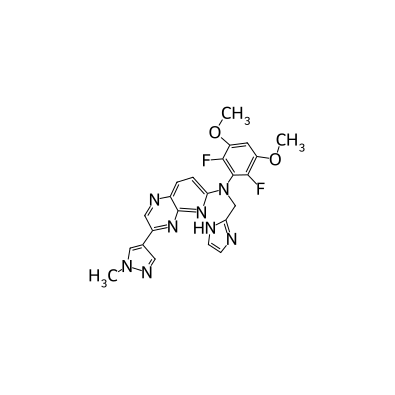 COc1cc(OC)c(F)c(N(Cc2ncc[nH]2)c2ccc3ncc(-c4cnn(C)c4)nc3n2)c1F